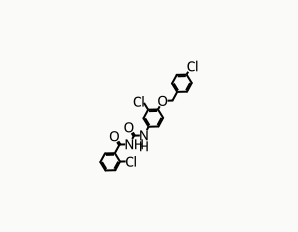 O=C(NC(=O)c1ccccc1Cl)Nc1ccc(OCc2ccc(Cl)cc2)c(Cl)c1